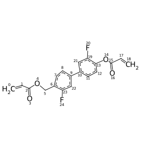 C=CC(=O)OCc1ccc(-c2ccc(OC(=O)C=C)c(F)c2)cc1F